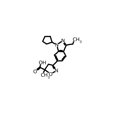 CCc1nn(C2CCCC2)c2cc(C3=NOC(C)(C(=O)O)C3)ccc12